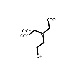 O=C([O-])CN(CCO)CC(=O)[O-].[Co+2]